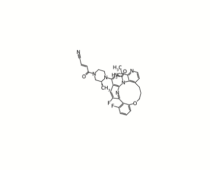 CC(C)c1nccc2c1-n1c(=O)nc(N3CCN(C(=O)/C=C/C#N)C[C@@H]3C)c3cc(F)c(nc31)-c1c(F)cccc1OCCC2